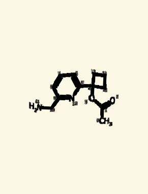 CC(=O)OC1(c2cccc(CN)n2)CCC1